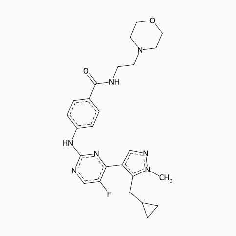 Cn1ncc(-c2nc(Nc3ccc(C(=O)NCCN4CCOCC4)cc3)ncc2F)c1CC1CC1